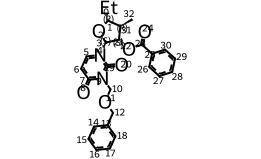 CC[C@H]1O[C@H](n2ccc(=O)n(COCc3ccccc3)c2=O)[C@@H](OC(=O)c2ccccc2)[C@@H]1C